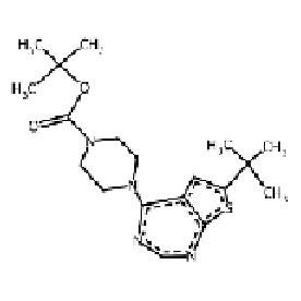 CC(C)(C)OC(=O)N1CCN(c2ncnc3sc(C(C)(C)C)cc23)CC1